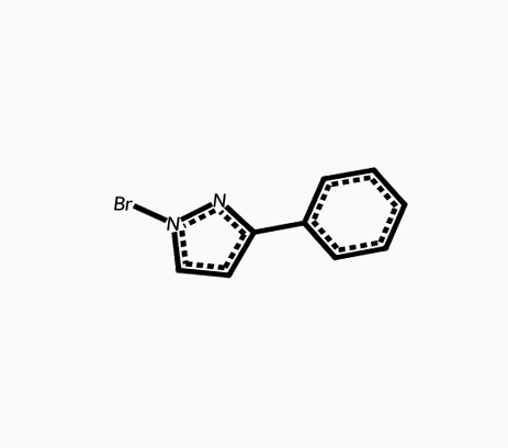 Brn1ccc(-c2ccccc2)n1